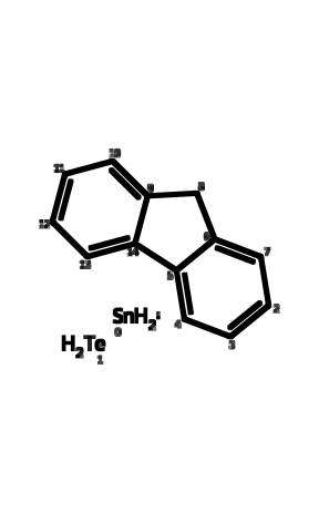 [SnH2].[TeH2].c1ccc2c(c1)Cc1ccccc1-2